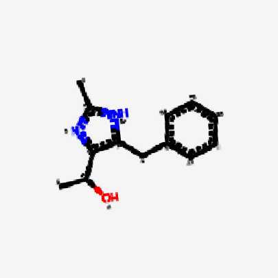 Cc1nc(C(C)O)c(Cc2ccccc2)[nH]1